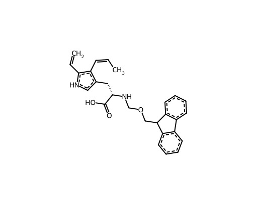 C=Cc1[nH]cc(C[C@H](NCOCC2c3ccccc3-c3ccccc32)C(=O)O)c1/C=C\C